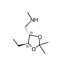 CC[C@@H]1OC(C)(C)O[C@H]1CNC